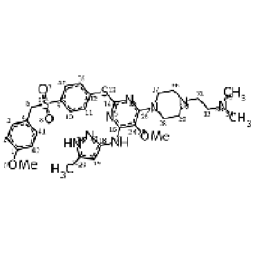 COc1ccc(CS(=O)(=O)c2ccc(Sc3nc(Nc4cc(C)[nH]n4)c(OC)c(N4CCN(CCN(C)C)CC4)n3)cc2)cc1